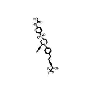 CC#C[C@H]1CN(S(=O)(=O)c2ccc(NC(=O)O)nc2)CCN1c1ccc(CCC#CC(O)C(F)(F)F)cc1